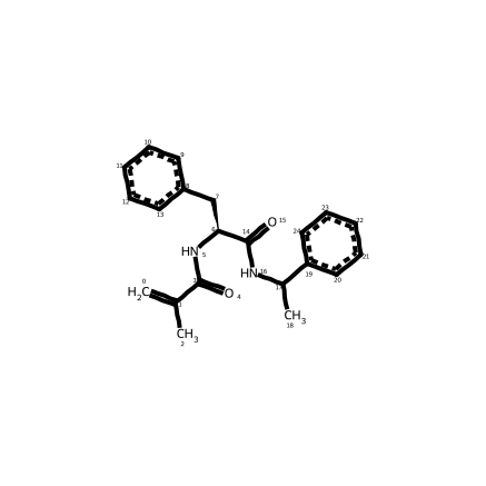 C=C(C)C(=O)N[C@@H](Cc1ccccc1)C(=O)NC(C)c1ccccc1